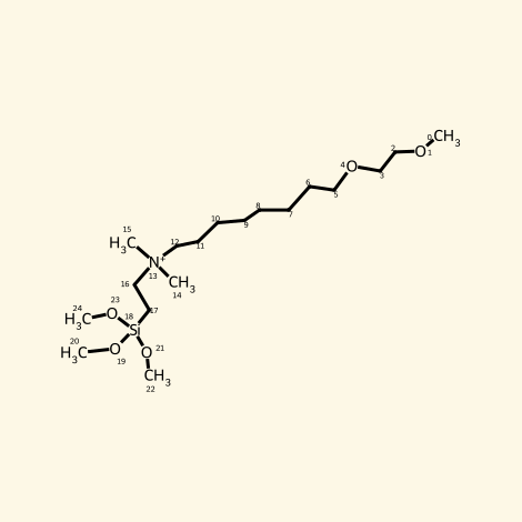 COCCOCCCCCCCC[N+](C)(C)CC[Si](OC)(OC)OC